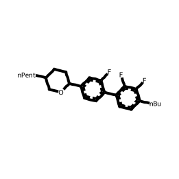 CCCCCC1CCC(c2ccc(-c3ccc(CCCC)c(F)c3F)c(F)c2)OC1